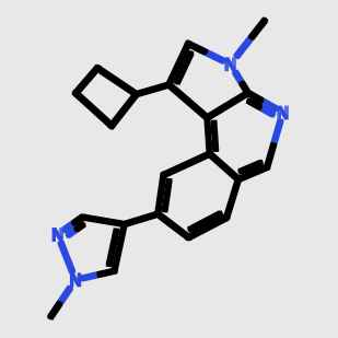 Cn1cc(-c2ccc3cnc4c(c(C5CCC5)cn4C)c3c2)cn1